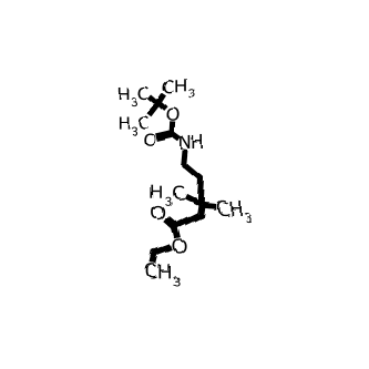 CCOC(=O)CC(C)(C)CCNC(=O)OC(C)(C)C